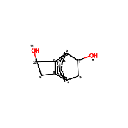 OC1Cc2ccc1c1c2CC1O